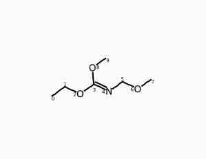 CCOC(=NCOC)OC